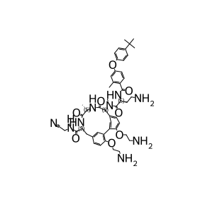 Cc1cc(Oc2ccc(C(C)(C)C)cc2)ccc1C(=O)N[C@@H](CCN)C(=O)N(C)[C@@H]1C(=O)N[C@@H](C)C(=O)N[C@H](C(=O)NCC#N)Cc2ccc(OCCN)c(c2)-c2cc1ccc2OCCN